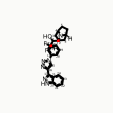 OC(CN1C2CC[C@@H]1C[C@H](c1ccc(-n3cc(-c4n[nH]c5ccccc45)nn3)cc1)C2)C(F)(F)F